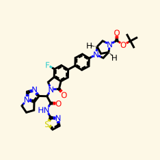 CC(C)(C)OC(=O)N1C[C@H]2C[C@@H]1CN2c1ccc(-c2cc(F)c3c(c2)C(=O)N(C(C(=O)Nc2nccs2)c2ncn4c2CCC4)C3)cc1